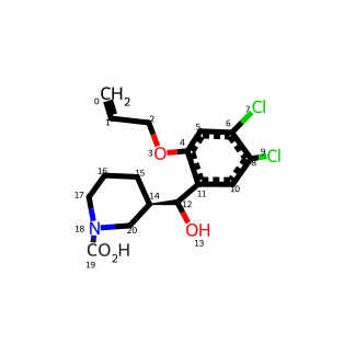 C=CCOc1cc(Cl)c(Cl)cc1C(O)[C@@H]1CCCN(C(=O)O)C1